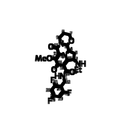 CCNC1CC2C3OCCCN3C(=O)c3c(OC)c(=O)c(C(=O)NCc4c(F)cc(F)cc4F)c1n32